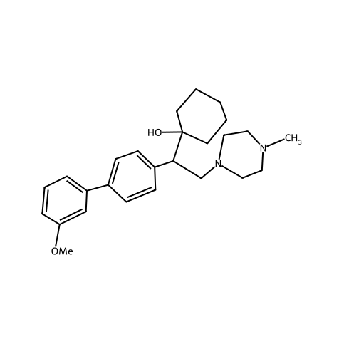 COc1cccc(-c2ccc(C(CN3CCN(C)CC3)C3(O)CCCCC3)cc2)c1